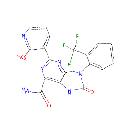 NC(=O)c1nc(-c2cccnc2O)nc2c1[nH]c(=O)n2-c1ccccc1C(F)(F)F